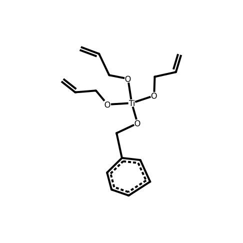 C=CC[O][Ti]([O]CC=C)([O]CC=C)[O]Cc1ccccc1